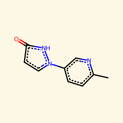 Cc1ccc(-n2ccc(=O)[nH]2)cn1